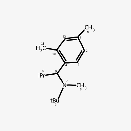 Cc1ccc(C(C(C)C)N(C)C(C)(C)C)c(C)c1